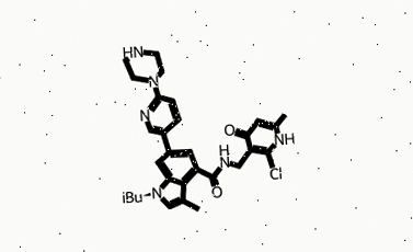 CC[C@@H](C)n1cc(C)c2c(C(=O)NCc3c(Cl)[nH]c(C)cc3=O)cc(-c3ccc(N4CCNCC4)nc3)cc21